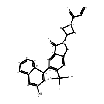 C=CC(=O)N1CC(N2Cc3cc(C(F)(F)F)c(-c4cc(O)cc5ccccc45)cc3C2=O)C1